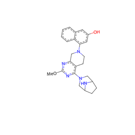 COc1nc2c(c(N3CC4CCC(C3)N4)n1)CCN(c1cc(O)cc3ccccc13)C2